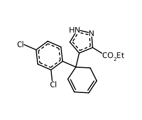 CCOC(=O)c1n[nH]cc1C1(c2ccc(Cl)cc2Cl)C=CC=CC1